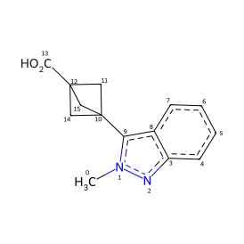 Cn1nc2ccccc2c1C12CC(C(=O)O)(C1)C2